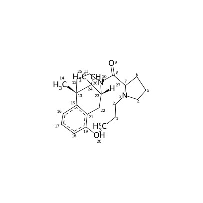 CCCN1CCCC1C(=O)N1CC[C@@]2(C)c3cccc(O)c3C[C@@H]1C2(C)C